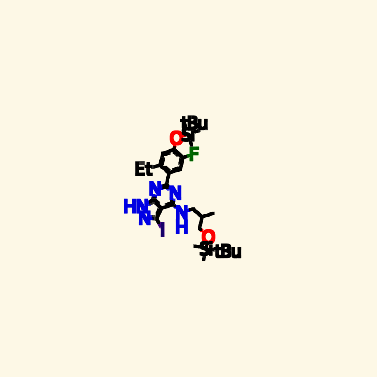 CCc1cc(O[Si](C)(C)C(C)(C)C)c(F)cc1-c1nc(NCC(C)CO[Si](C)(C)C(C)(C)C)c2c(I)n[nH]c2n1